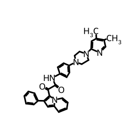 Cc1cnc(N2CCN(c3ccc(NC(=O)C(=O)c4c(-c5ccccc5)cc5ccccn45)cc3)CC2)cc1C